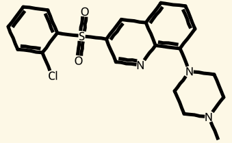 CN1CCN(c2cccc3cc(S(=O)(=O)c4ccccc4Cl)cnc23)CC1